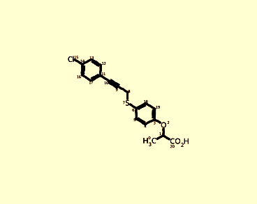 CC(Oc1ccc(SCC#Cc2ccc(Cl)cc2)cc1)C(=O)O